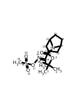 CC(C)(C)OC(=O)N1C2CCC1CC(/C(Cl)=N/OS(C)(=O)=O)C2